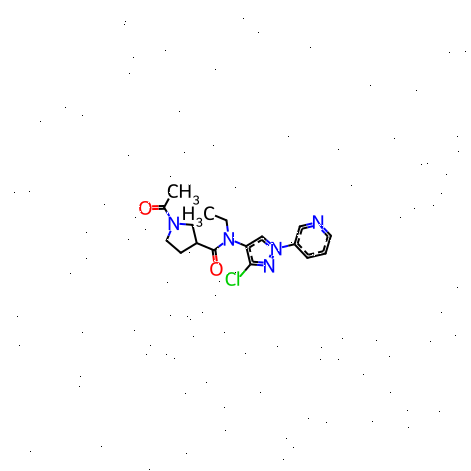 CCN(C(=O)C1CCN(C(C)=O)C1)c1cn(-c2cccnc2)nc1Cl